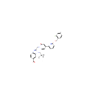 CCC1(Cn2c(Cn3ccc(-c4cccc(OCc5ccc(C)cc5F)n4)cc3=O)nc3ccc(C(=O)O)cc32)CC1